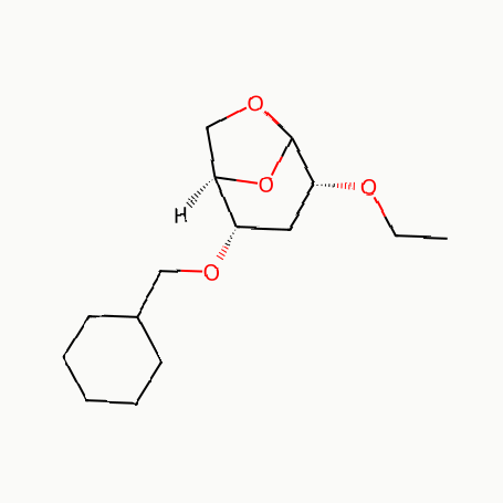 CCO[C@@H]1C[C@H](OCC2CCCCC2)[C@H]2COC1O2